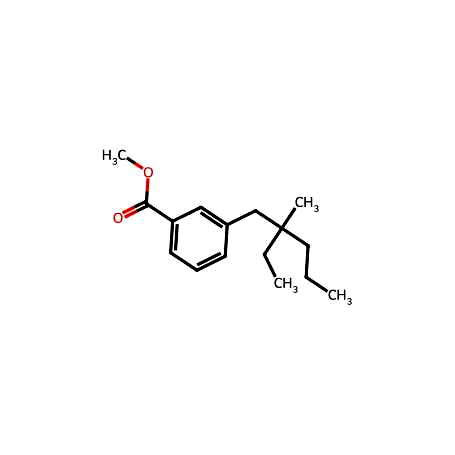 CCCC(C)(CC)Cc1cccc(C(=O)OC)c1